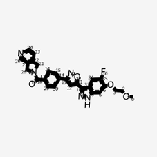 COCCOc1cc2[nH]nc(-c3cc(-c4ccc(C(=O)N5Cc6ccncc6C5)cc4)no3)c2cc1F